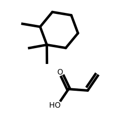 C=CC(=O)O.CC1CCCCC1(C)C